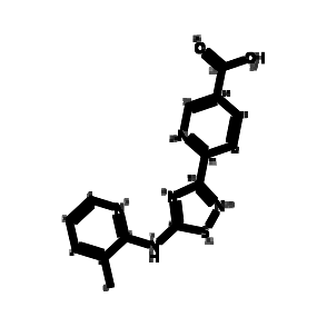 Cc1cccnc1Nc1nc(-c2ccc(C(=O)O)cn2)ns1